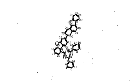 c1ccc(-c2nc(-c3ccccc3)nc(-c3cccc4oc5cc(-c6ccc7c(ccc8c9ccccc9oc78)c6)ccc5c34)n2)cc1